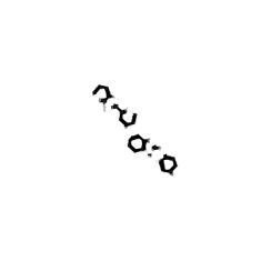 Cn1c(Nc2ccc(F)cc2)nc2cc(Oc3ccnc(-c4nc5cccnc5[nH]4)c3)ccc21